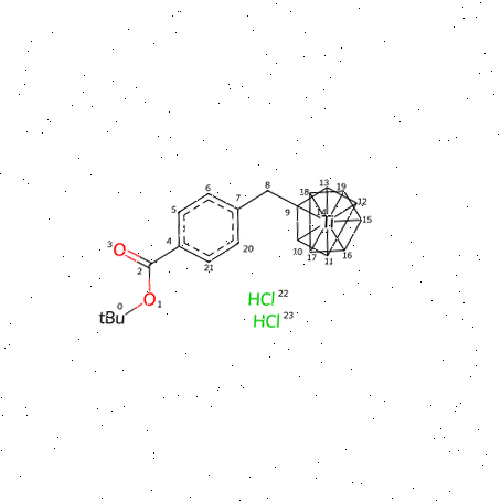 CC(C)(C)OC(=O)c1ccc(C[C]23[CH]4[CH]5[CH]6[CH]2[Ti]56432789[CH]3[CH]2[CH]7[CH]8[CH]39)cc1.Cl.Cl